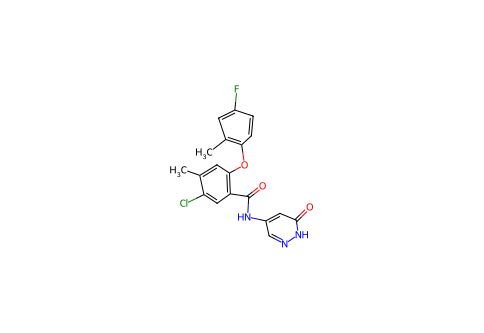 Cc1cc(Oc2ccc(F)cc2C)c(C(=O)Nc2cn[nH]c(=O)c2)cc1Cl